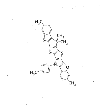 Cc1ccc(-n2c3c4ccc(C)cc4oc3c3sc4c5c(sc4c32)-c2sc3cc(C)ccc3c2[Si]5(C)C)cc1